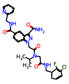 CC(C)N(CC(=O)NCC1CC=CC(Cl)=C1F)C(=O)Cn1nc(C(N)=O)c2cc(C(=O)NCc3ccccn3)ccc21